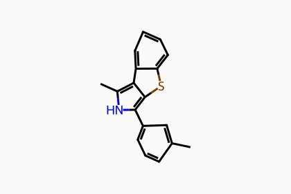 Cc1cccc(-c2[nH]c(C)c3c2sc2ccccc23)c1